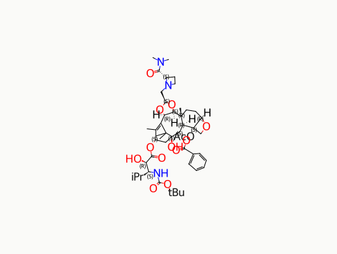 CC(=O)O[C@@]12CO[C@@H]1CC[C@@]1(C)[C@@H]3O[C@H](CN4CC[C@H]4C(=O)N(C)C)O[C@@H]3C3=C(C)[C@@H](OC(=O)[C@H](O)[C@@H](NC(=O)OC(C)(C)C)C(C)C)C[C@@](O)([C@@H](OC(=O)c4ccccc4)[C@@H]12)C3(C)C